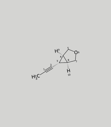 CC#C[C@@H]1[C@H]2COC[C@@H]12